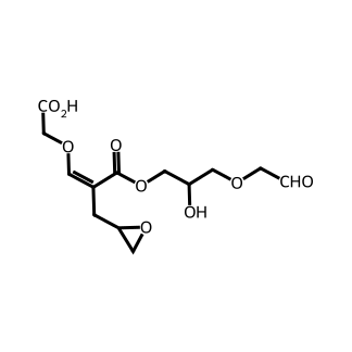 O=CCOCC(O)COC(=O)C(=COCC(=O)O)CC1CO1